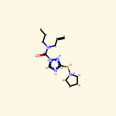 C=CCN(CCC)C(=O)n1cnc(SN2CCCC2)n1